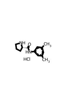 Cc1cc(C)cc(NC(=O)[C@@H]2CCCN2)c1.Cl